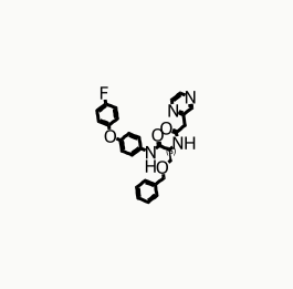 O=C(Cc1cnccn1)N[C@@H](COCc1ccccc1)C(=O)Nc1ccc(Oc2ccc(F)cc2)cc1